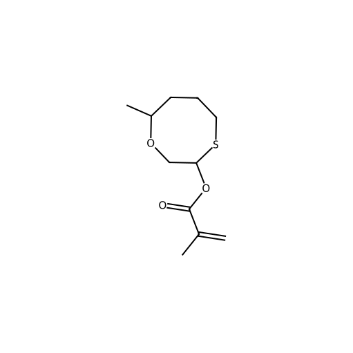 C=C(C)C(=O)OC1COC(C)CCCS1